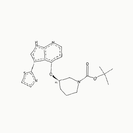 CC(C)(C)OC(=O)N1CCC[C@@H](Oc2ccnc3[nH]cc(-c4nccs4)c23)C1